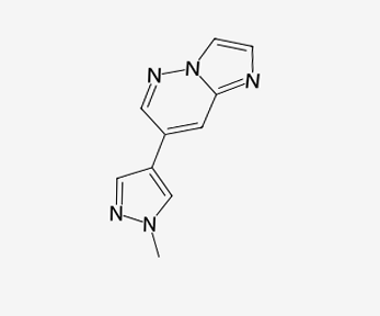 Cn1cc(-c2cnn3ccnc3c2)cn1